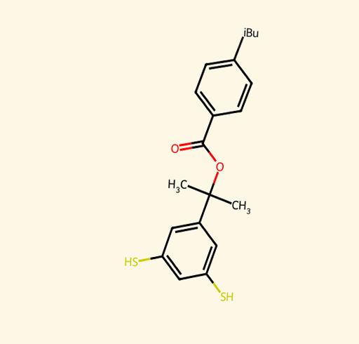 CCC(C)c1ccc(C(=O)OC(C)(C)c2cc(S)cc(S)c2)cc1